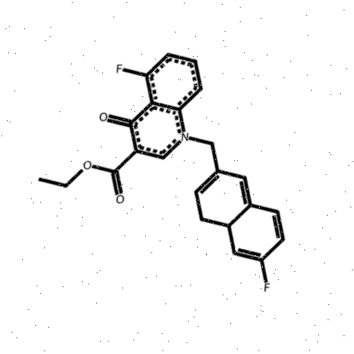 CCOC(=O)c1cn(CC2=CCC3C=C(F)C=CC3=C2)c2cccc(F)c2c1=O